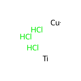 Cl.Cl.Cl.[Cu].[Ti]